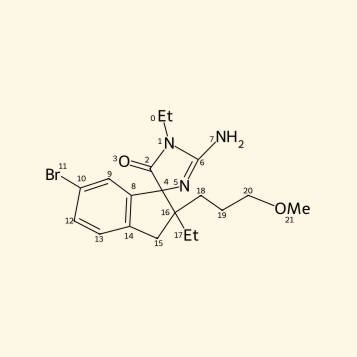 CCN1C(=O)C2(N=C1N)c1cc(Br)ccc1CC2(CC)CCCOC